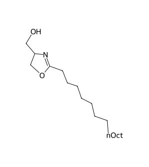 CCCCCCCCCCCCCCCC1=NC(CO)CO1